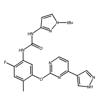 Cc1cc(F)c(NC(=O)Nc2ccn(C(C)(C)C)n2)cc1Oc1nccc(-c2cn[nH]c2)n1